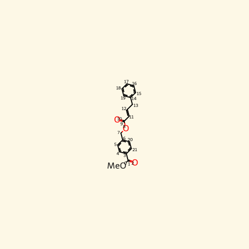 COC(=O)c1ccc(COC(=O)C=CCc2ccccc2)cc1